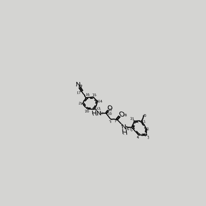 Cc1cccc(NC(=O)CC(=O)Nc2ccc(C#N)cc2)c1